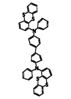 c1ccc(N(c2ccc(-c3ccc(N(c4ccccc4)c4cccc5c4Sc4ccccc4S5)cc3)cc2)c2cccc3c2Sc2ccccc2S3)cc1